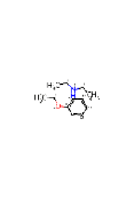 CCNCC.CCOc1ccccc1